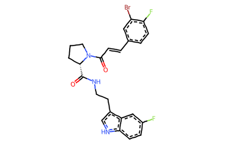 O=C(NCCc1c[nH]c2ccc(F)cc12)[C@@H]1CCCN1C(=O)/C=C/c1ccc(F)c(Br)c1